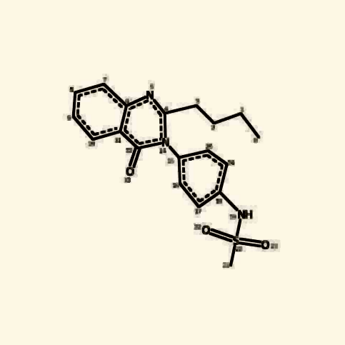 CCCCc1nc2ccccc2c(=O)n1-c1ccc(NS(C)(=O)=O)cc1